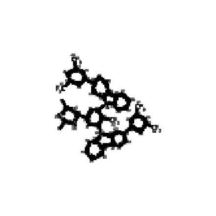 Cc1nc(C)nc(-c2cc(-n3c4ccccc4c4ccc(-c5cc(C(F)(F)F)cc(C(F)(F)F)c5)cc43)c(C(F)(F)F)c(-n3c4ccccc4c4ccc(-c5cc(C(F)(F)F)cc(C(F)(F)F)c5)cc43)c2)n1